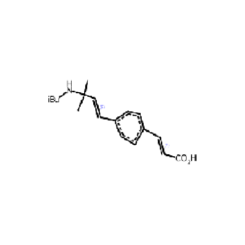 CCC(C)NC(C)(C)/C=C/c1ccc(/C=C/C(=O)O)cc1